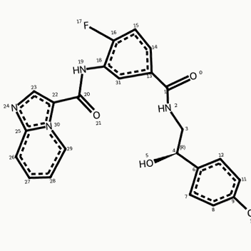 O=C(NC[C@H](O)c1ccc(Cl)cc1)c1ccc(F)c(NC(=O)c2cnc3ccccn23)c1